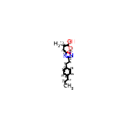 C=C(Cc1nc(CCc2ccc(CCC)cc2)no1)C(=O)O